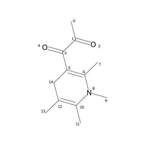 CC(=O)C(=O)C1=C(C)N(C)C(C)=C(C)C1